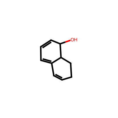 OC1C=CC=C2C=CCCC21